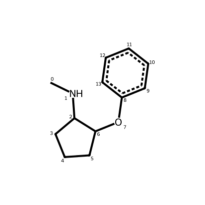 CNC1CCCC1Oc1ccccc1